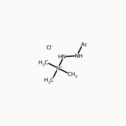 CC(=O)NN[N+](C)(C)C.[Cl-]